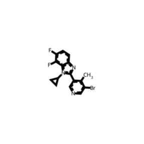 Cc1c(Br)cncc1-c1nc2ccc(F)c(F)c2n1C1CC1